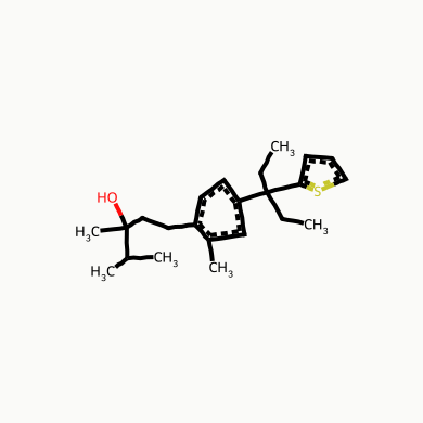 CCC(CC)(c1ccc(CCC(C)(O)C(C)C)c(C)c1)c1cccs1